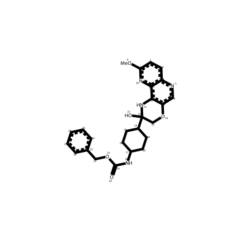 COc1ccc2ncc3c(c2n1)NC(O)(C1CCC(NC(=O)OCc2ccccc2)CC1)CO3